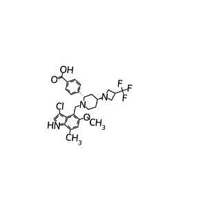 COc1cc(C)c2[nH]cc(Cl)c2c1CN1CC[C@H](N2CC(C(F)(F)F)C2)C[C@H]1c1ccc(C(=O)O)cc1